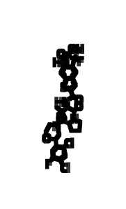 CC(C)(C)[C@H](NC(=O)c1cc2cc(C(F)(F)P(=O)(O)O)ccc2s1)C(=O)N1CCC[C@H]1C(=O)N1CCOC(c2cc(F)c(Cl)cc2Cl)C1